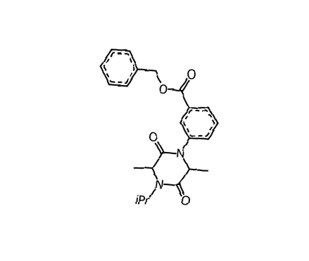 CC1C(=O)N(C(C)C)C(C)C(=O)N1c1cccc(C(=O)OCc2ccccc2)c1